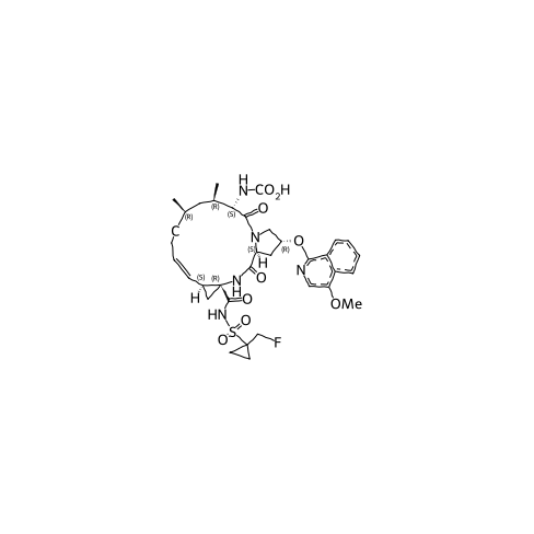 COc1cnc(O[C@@H]2C[C@H]3C(=O)N[C@]4(C(=O)NS(=O)(=O)C5(CF)CC5)C[C@H]4C=CCC[C@@H](C)C[C@@H](C)[C@H](NC(=O)O)C(=O)N3C2)c2ccccc12